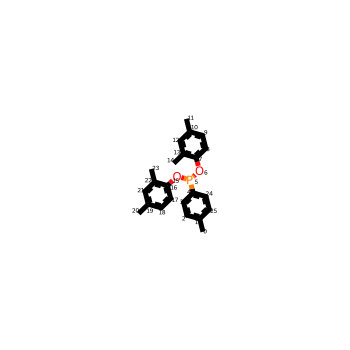 Cc1ccc(P(Oc2ccc(C)cc2C)Oc2ccc(C)cc2C)cc1